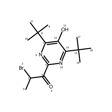 CC(Br)C(=O)c1nc(C(C)(C)C)c(O)c(C(C)(C)C)n1